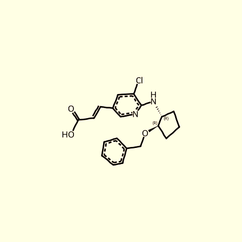 O=C(O)C=Cc1cnc(N[C@@H]2CCC[C@H]2OCc2ccccc2)c(Cl)c1